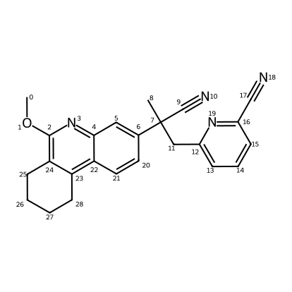 COc1nc2cc(C(C)(C#N)Cc3cccc(C#N)n3)ccc2c2c1CCCC2